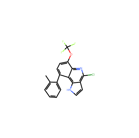 Cc1ccccc1-c1ccc(OC(F)(F)F)c2nc(Cl)c3cc[nH]c3c12